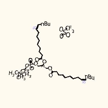 CCCC/C=C\CCCCCCCC(=O)OC[C@H](COP(=O)(OCC)OCC[N+](C)(C)C)OC(=O)CCCCCCC/C=C\CCCC.O=S(=O)([O-])C(F)(F)F